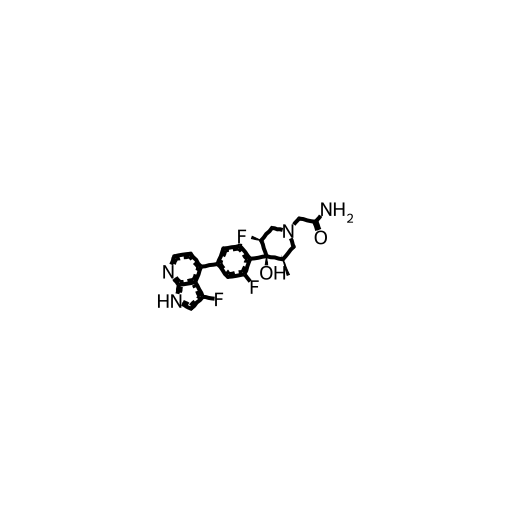 C[C@@H]1CN(CC(N)=O)C[C@H](C)[C@@]1(O)c1c(F)cc(-c2ccnc3[nH]cc(F)c23)cc1F